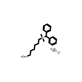 CCCCCCCCCCCCCCCC[N+](C)(C)C(c1ccccc1)c1ccccc1.Cl.N.[Cl-]